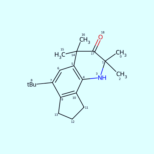 CC1(C)Nc2c(cc(C(C)(C)C)c3c2CCC3)C(C)(C)C1=O